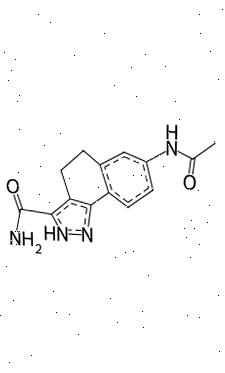 CC(=O)Nc1ccc2c(c1)CCc1c-2n[nH]c1C(N)=O